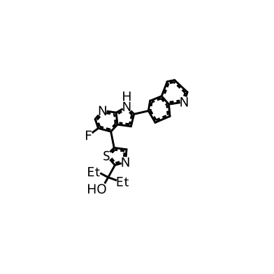 CCC(O)(CC)c1ncc(-c2c(F)cnc3[nH]c(-c4ccc5ncccc5c4)cc23)s1